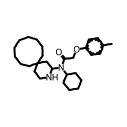 Cc1ccc(OCC(=O)N(C2CCCCC2)C2CC3(CCCCCCCCC3)CCN2)cc1